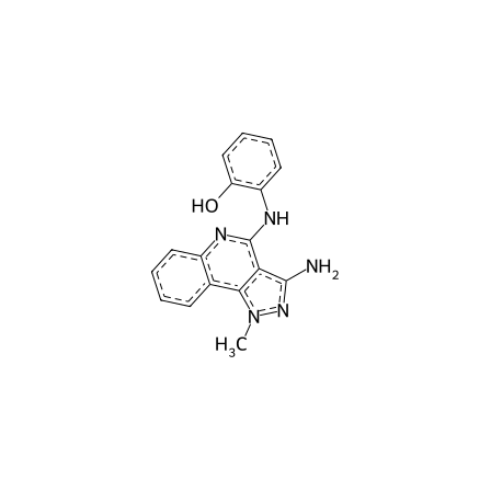 Cn1nc(N)c2c(Nc3ccccc3O)nc3ccccc3c21